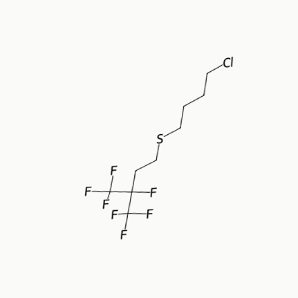 FC(F)(F)C(F)(CCSCCCCCl)C(F)(F)F